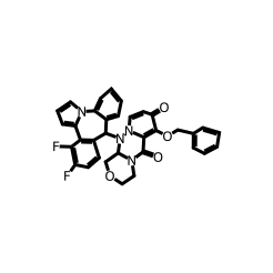 O=C1c2c(OCc3ccccc3)c(=O)ccn2N(C2c3ccccc3-n3cccc3-c3c2ccc(F)c3F)C2COCCN12